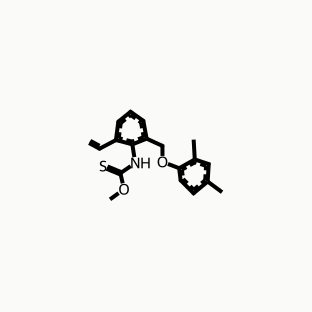 C=Cc1cccc(COc2ccc(C)cc2C)c1NC(=S)OC